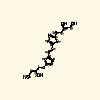 OCC(O)CSc1nnc(SSc2nnc(SCC(O)CO)s2)s1